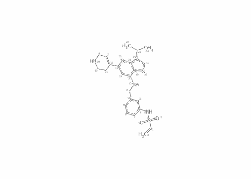 C=CS(=O)(=O)Nc1cccc(CNc2cc(C3=CCNCC3)nc3c(C(C)C)cnn23)c1